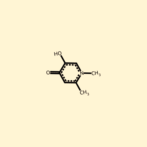 Cc1cc(=O)c(O)cn1C